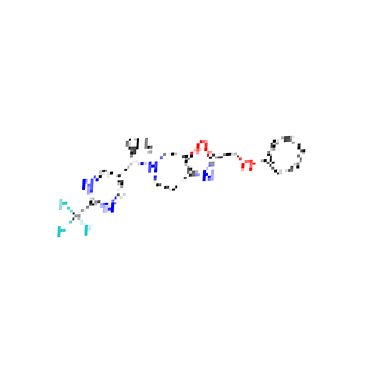 C=C(c1cnc(C(F)(F)F)nc1)N1CCc2nc(COc3ccccc3)oc2C1